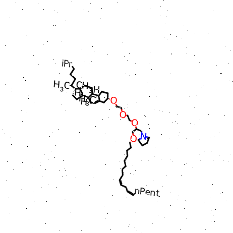 CCCCC/C=C\C/C=C\CCCCCCCCOCC(CN1CCCC1)OCCOCCO[C@H]1CC[C@@]2(C)C(=CC[C@H]3[C@@H]4CC[C@H]([C@H](C)CCCC(C)C)[C@@]4(C)CC[C@@H]32)C1